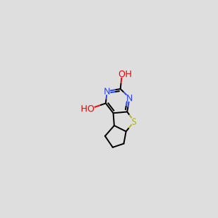 Oc1nc(O)c2c(n1)SC1CCCC21